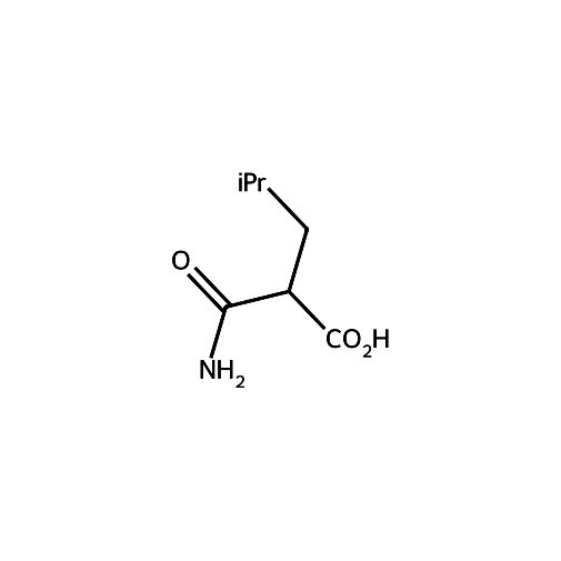 CC(C)CC(C(N)=O)C(=O)O